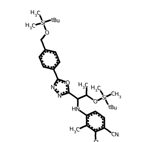 Cc1c(NC(c2nnc(-c3ccc(CO[Si](C)(C)C(C)(C)C)cc3)o2)C(C)O[Si](C)(C)C(C)(C)C)ccc(C#N)c1Cl